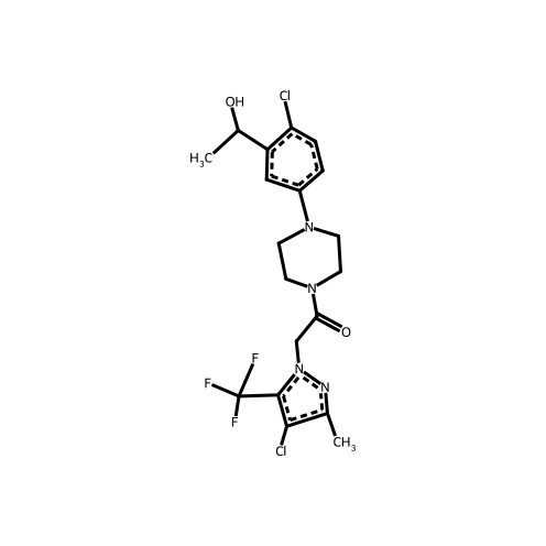 Cc1nn(CC(=O)N2CCN(c3ccc(Cl)c(C(C)O)c3)CC2)c(C(F)(F)F)c1Cl